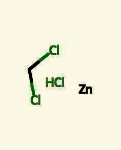 Cl.ClCCl.[Zn]